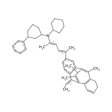 C/C=C1\C2=C(C)C(C)C(=C(C)C3=C2C=CCC3)c2cc(/C(C)=C/C=C(\C)N(C3CCCCC3)C3CCCC(c4ccccc4)C3)ccc21